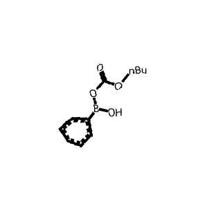 CCCCOC(=O)OB(O)c1ccccc1